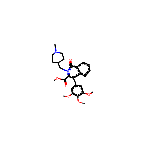 COC(=O)c1c(-c2cc(OC)c(OC)c(OC)c2)c2ccccc2c(=O)n1CC1CCN(C)CC1